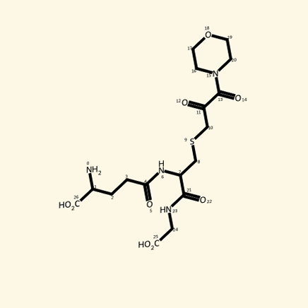 NC(CCC(=O)NC(CSCC(=O)C(=O)N1CCOCC1)C(=O)NCC(=O)O)C(=O)O